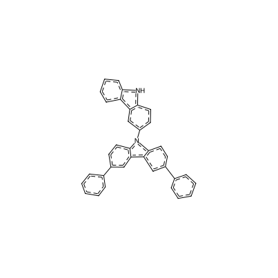 c1ccc(-c2ccc3c(c2)c2cc(-c4ccccc4)ccc2n3-c2ccc3[nH]c4ccccc4c3c2)cc1